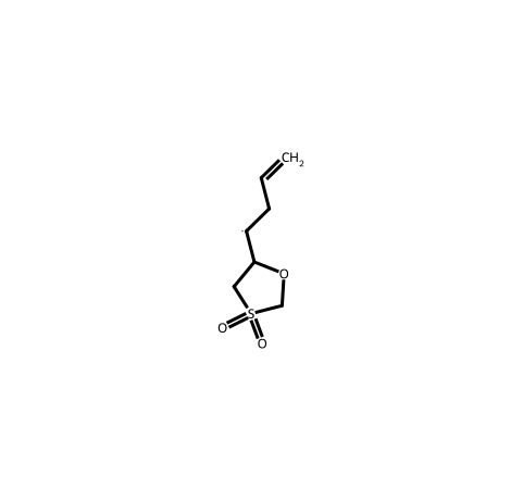 C=CC[CH]C1CS(=O)(=O)CO1